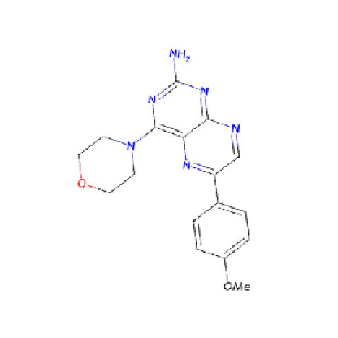 COc1ccc(-c2cnc3nc(N)nc(N4CCOCC4)c3n2)cc1